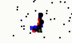 CCC1CC(=O)NN=C1c1ccc2nc(-c3cccc(OCCN4CCCCC4)c3)oc2c1